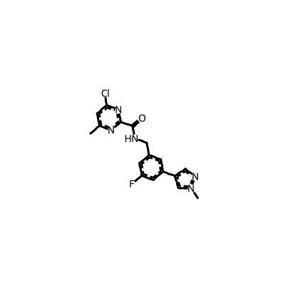 Cc1cc(Cl)nc(C(=O)NCc2cc(F)cc(-c3cnn(C)c3)c2)n1